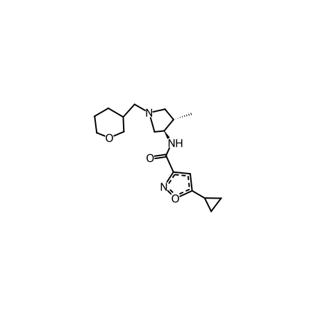 C[C@H]1CN(CC2CCCOC2)C[C@@H]1NC(=O)c1cc(C2CC2)on1